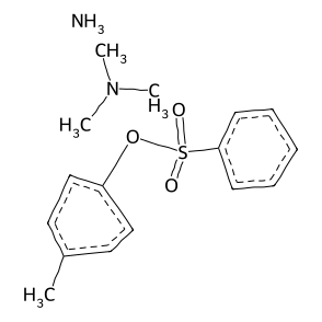 CN(C)C.Cc1ccc(OS(=O)(=O)c2ccccc2)cc1.N